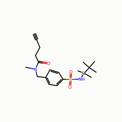 C#CCCC(=O)N(C)Cc1ccc(S(=O)(=O)N[Si](C)(C)C(C)(C)C)cc1